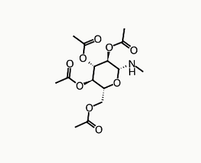 CN[C@@H]1O[C@H](COC(C)=O)[C@@H](OC(C)=O)[C@H](OC(C)=O)[C@H]1OC(C)=O